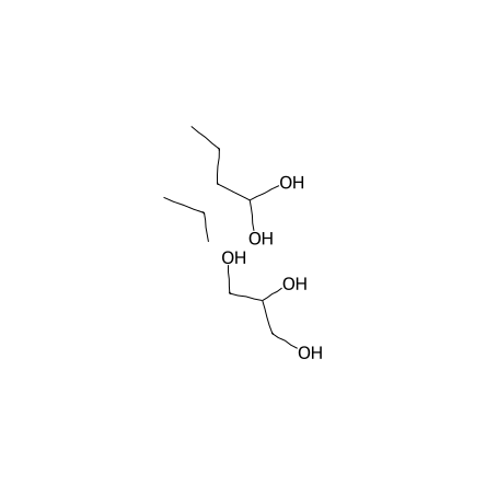 CCC.CCCC(O)O.OCC(O)CO